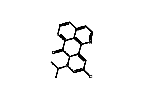 CN(C)N1C=C(Cl)C=C2c3nccc4ccnc(c34)C(=O)C21